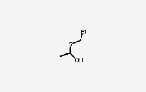 CCCSC(C)O